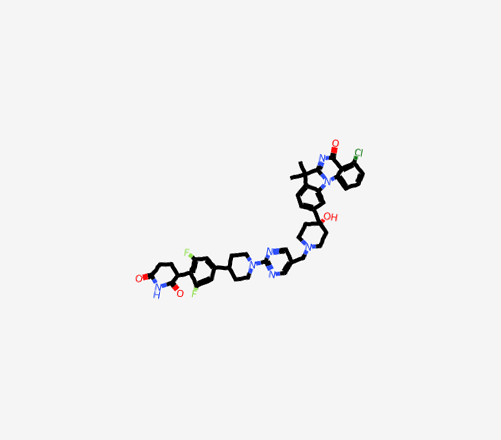 CC1(C)c2ccc(C3(O)CCN(Cc4cnc(N5CCC(c6cc(F)c(C7CCC(=O)NC7=O)c(F)c6)CC5)nc4)CC3)cc2-n2c1nc(=O)c1c(Cl)cccc12